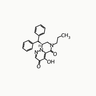 CCCN1C[C@H](C(c2ccccc2)c2ccccc2)n2ncc(=O)c(O)c2C1=O